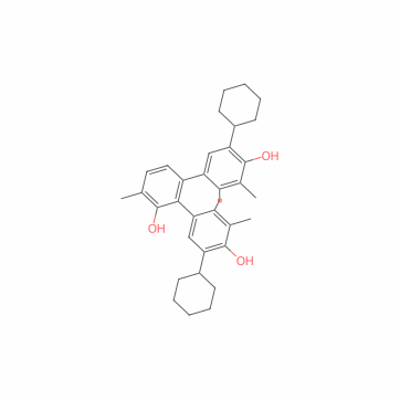 Cc1ccc(-c2cc(C3CCCCC3)c(O)c(C)c2C)c(-c2cc(C3CCCCC3)c(O)c(C)c2C)c1O